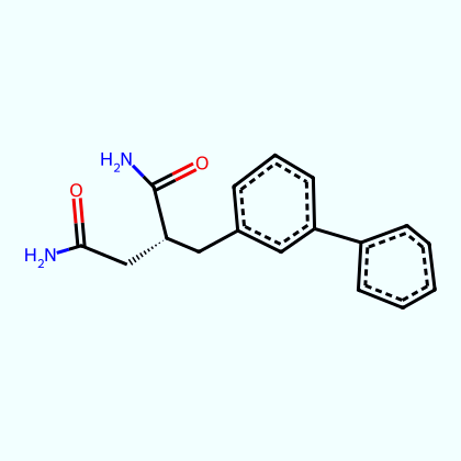 NC(=O)C[C@@H](Cc1cccc(-c2ccccc2)c1)C(N)=O